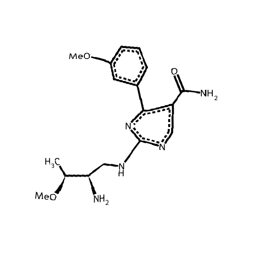 COc1cccc(-c2nc(NC[C@@H](N)[C@H](C)OC)ncc2C(N)=O)c1